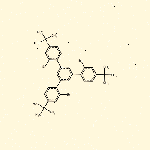 CC(C)(C)c1ccc(-c2cc(-c3ccc(C(C)(C)C)cc3Br)cc(-c3ccc(C(C)(C)C)cc3Br)c2)c(Br)c1